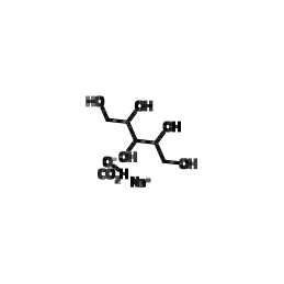 O=C([O-])O.OCC(O)C(O)C(O)CO.[Na+]